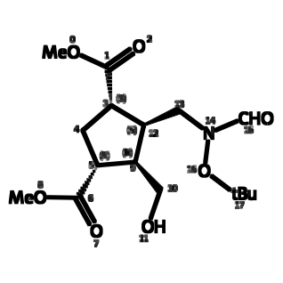 COC(=O)[C@H]1C[C@@H](C(=O)OC)[C@H](CO)[C@@H]1CN(C=O)OC(C)(C)C